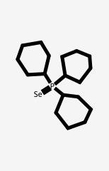 [Se]=P(C1CCCCC1)(C1CCCCC1)C1CCCCC1